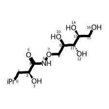 CC(C)C[C@H](O)C(=O)NOCC(O)[C@@H](O)[C@@H](O)CO